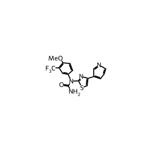 COc1ccc(N(C(N)=O)c2nc(-c3cccnc3)cs2)cc1C(F)(F)F